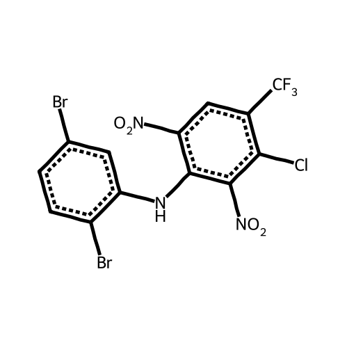 O=[N+]([O-])c1cc(C(F)(F)F)c(Cl)c([N+](=O)[O-])c1Nc1cc(Br)ccc1Br